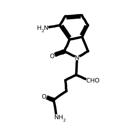 NC(=O)CCC(C=O)N1Cc2cccc(N)c2C1=O